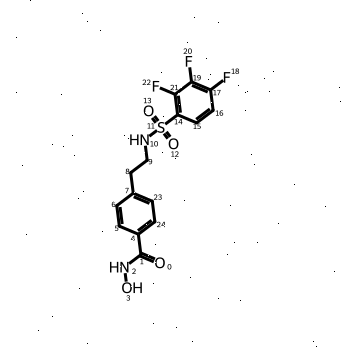 O=C(NO)c1ccc(CCNS(=O)(=O)c2ccc(F)c(F)c2F)cc1